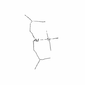 CC(C)[CH2][Al]([CH2]C(C)C)[Si](C)(C)C